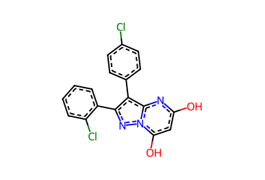 Oc1cc(O)n2nc(-c3ccccc3Cl)c(-c3ccc(Cl)cc3)c2n1